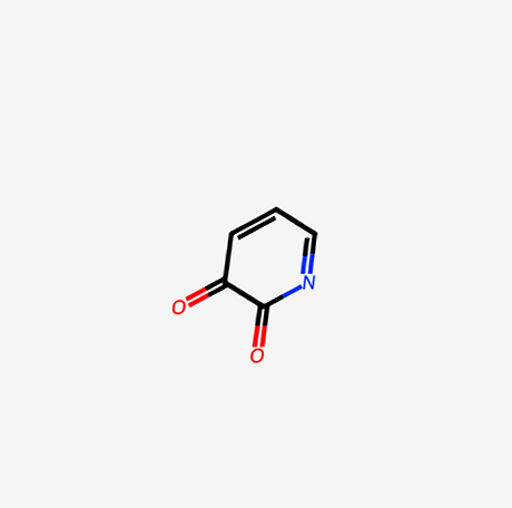 O=C1C=CC=NC1=O